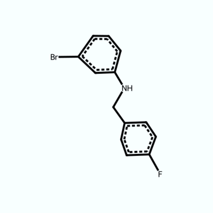 Fc1ccc(CNc2cccc(Br)c2)cc1